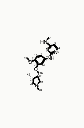 CNc1ccnc(Nc2ccc(OC)c(OC[C@@H]3CN(C)C[C@@H]3C)c2)n1